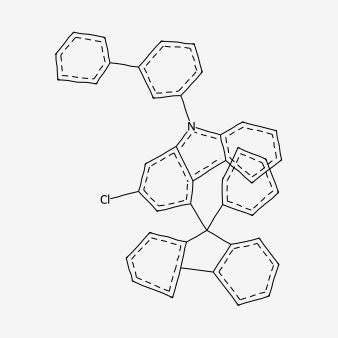 Clc1cc(C2(c3ccccc3)c3ccccc3-c3ccccc32)c2c3ccccc3n(-c3cccc(-c4ccccc4)c3)c2c1